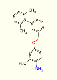 Cc1cc(OCc2cccc(-c3c(C)cccc3C)c2)ccc1N